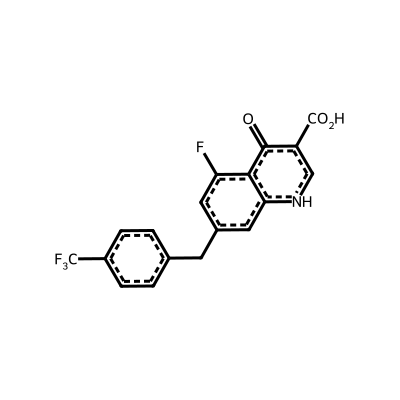 O=C(O)c1c[nH]c2cc(Cc3ccc(C(F)(F)F)cc3)cc(F)c2c1=O